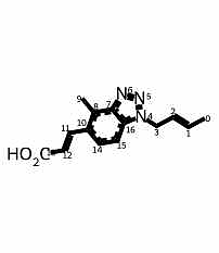 C/C=C/Cn1nnc2c(C)c(/C=C/C(=O)O)ccc21